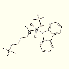 C[SiH](CCCO[Si](C)(C)C)[Zr]([Cl])([Cl])([NH]C(C)(C)C)[CH]1c2ccccc2-c2ccccc21